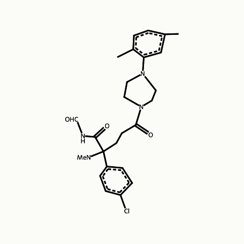 CNC(CCC(=O)N1CCN(c2cc(C)ccc2C)CC1)(C(=O)NC=O)c1ccc(Cl)cc1